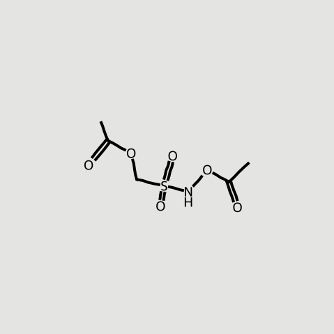 CC(=O)OCS(=O)(=O)NOC(C)=O